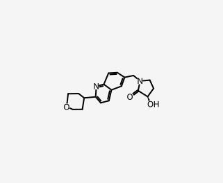 O=C1[C@H](O)CCN1Cc1ccc2nc(C3CCOCC3)ccc2c1